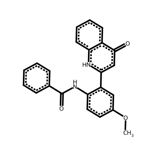 COc1ccc(NC(=O)c2ccccc2)c(-c2cc(=O)c3ccccc3[nH]2)c1